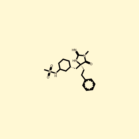 CN1C(=N)N[C@](CCc2ccccc2)(C[C@H]2CCCC(NS(C)(=O)=O)C2)C1=O